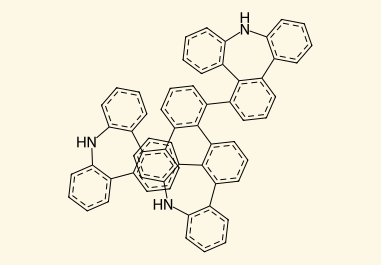 c1ccc2c(c1)Nc1ccccc1-c1c-2cccc1-c1cccc(-c2cccc3c2-c2ccccc2Nc2ccccc2-3)c1-c1cccc2c1-c1ccccc1Nc1ccccc1-2